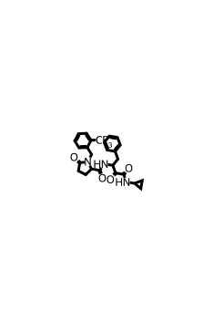 O=C(NC1CC1)C(=O)C(Cc1ccccc1)NC(=O)C1CCC(=O)N1Cc1ccccc1C(F)(F)F